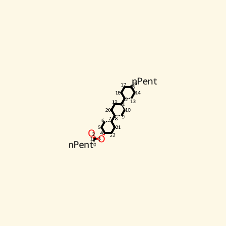 CCCCCC(=O)O[C@H]1CC[C@H]([C@H]2CC[C@H]([C@H]3CC[C@H](CCCCC)CC3)CC2)CC1